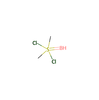 B=S(C)(C)(Cl)Cl